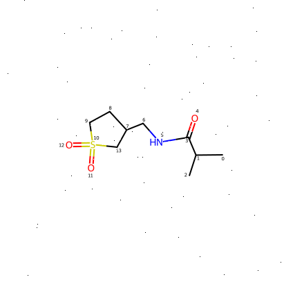 CC(C)C(=O)NCC1CCS(=O)(=O)C1